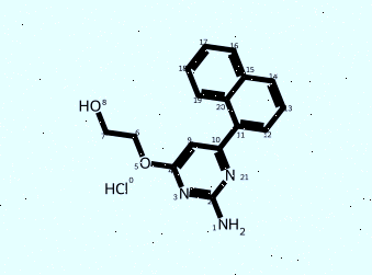 Cl.Nc1nc(OCCO)cc(-c2cccc3ccccc23)n1